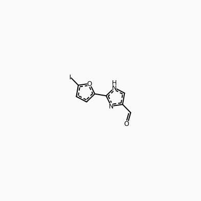 O=Cc1c[nH]c(-c2ccc(I)o2)n1